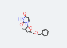 CC1C[C@@H](COCc2ccccc2)O[C@H]1n1ccc(=O)[nH]c1=O